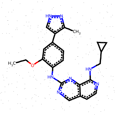 CCOc1cc(-c2c[nH]nc2C)ccc1Nc1ncc2ccnc(NCC3CC3)c2n1